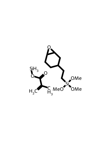 C=C(C)C(=O)O[SiH3].CO[Si](CCC1CCC2OC2C1)(OC)OC